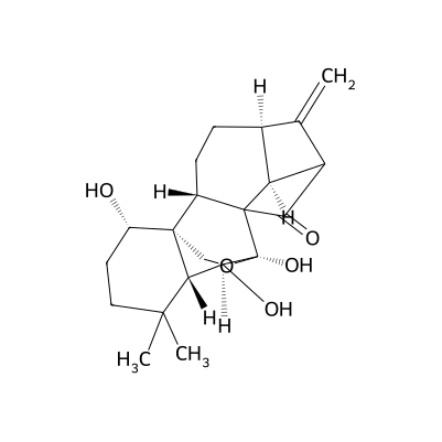 C=C1C2C(=O)C34[C@H]2[C@H]1CC[C@H]3[C@@]12CO[C@@]4(O)[C@@H](O)[C@@H]1C(C)(C)CC[C@@H]2O